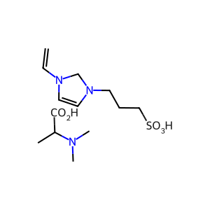 C=CN1C=CN(CCCS(=O)(=O)O)C1.CC(C(=O)O)N(C)C